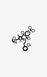 COC(=O)N1CCC2(CC1)C(=O)c1c(sc(-c3ncco3)c1C)N(CCc1ccccc1OC)C2=O